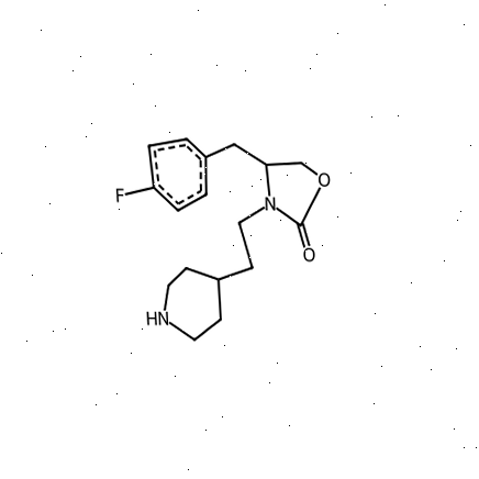 O=C1OCC(Cc2ccc(F)cc2)N1CCC1CCNCC1